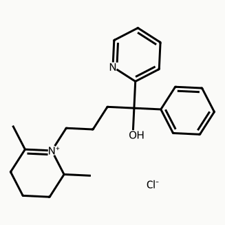 CC1=[N+](CCCC(O)(c2ccccc2)c2ccccn2)C(C)CCC1.[Cl-]